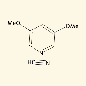 C#N.COc1cncc(OC)c1